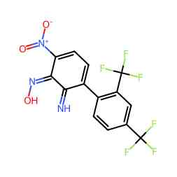 N=C1C(c2ccc(C(F)(F)F)cc2C(F)(F)F)=CC=C([N+](=O)[O-])/C1=N/O